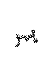 CC(C)Oc1nn(CCO[Si](C)(C)C(C)(C)C)c(CN(C[C@H](C)Oc2c(-c3cc4c(C#C[Si](C(C)C)(C(C)C)C(C)C)nn(C5CCCCO5)c4cn3)cnn2C)C(C)C)c1I